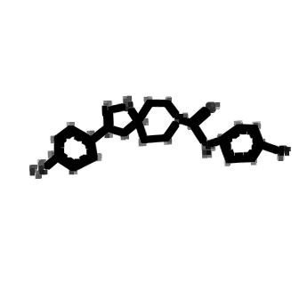 CC(C)c1ccc(NC(=O)N2CCC3(CC2)CC(c2ccc(C(F)(F)F)cc2)=NO3)cc1